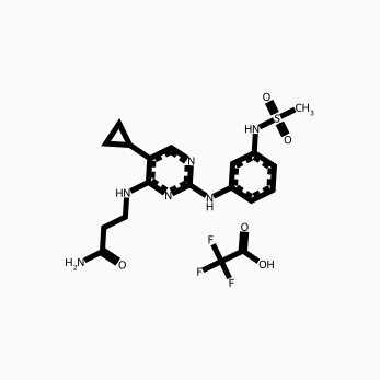 CS(=O)(=O)Nc1cccc(Nc2ncc(C3CC3)c(NCCC(N)=O)n2)c1.O=C(O)C(F)(F)F